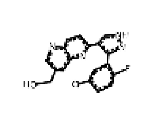 OCc1cnc2ccc(-c3c[nH]nc3-c3cc(Cl)ccc3F)nc2c1